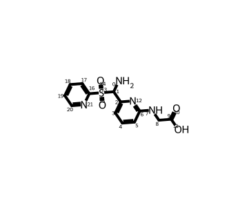 NC(c1cccc(NCC(=O)O)n1)S(=O)(=O)c1ccccn1